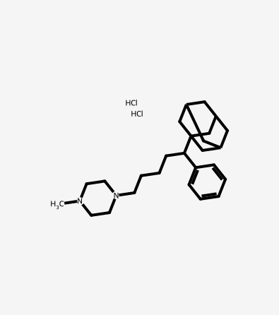 CN1CCN(CCCCC(c2ccccc2)C23CC4CC(CC(C4)C2)C3)CC1.Cl.Cl